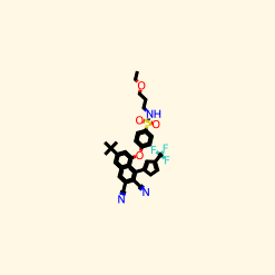 CCOCCCNS(=O)(=O)c1ccc(Oc2cc(C(C)(C)C)cc3cc(C#N)c(C#N)c(C4=CC(C(F)(F)F)=CC4)c23)cc1